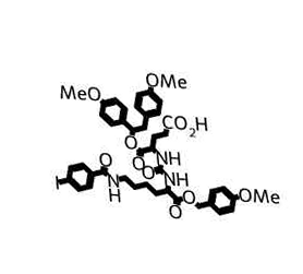 COc1ccc(COC(=O)C(CCCCNC(=O)c2ccc(I)cc2)NC(=O)NC(CCC(=O)O)C(=O)OC(Cc2ccc(OC)cc2)c2ccc(OC)cc2)cc1